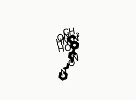 Cn1c(=O)[nH]c2c3c(O)c(-c4ccc(OCCCN5CCCCC5)nc4)ccc3ncc21